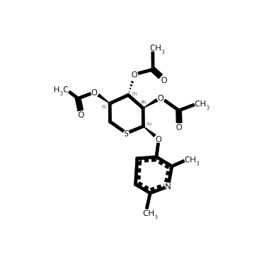 CC(=O)O[C@@H]1[C@@H](OC(C)=O)[C@@H](Oc2ccc(C)nc2C)SC[C@H]1OC(C)=O